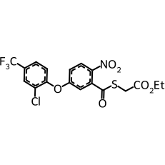 CCOC(=O)CSC(=O)c1cc(Oc2ccc(C(F)(F)F)cc2Cl)ccc1[N+](=O)[O-]